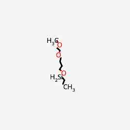 CCC[SiH2]OCCCCOCCOC